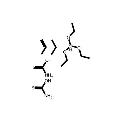 C=CC.CCC.CCO[SiH](OCC)OCC.NC(O)=S.NC(O)=S